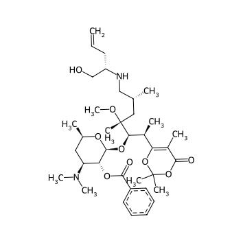 C=CC[C@@H](CO)NC[C@H](C)C[C@@](C)(OC)[C@H](O[C@@H]1O[C@H](C)C[C@H](N(C)C)[C@H]1OC(=O)c1ccccc1)[C@@H](C)C1=C(C)C(=O)OC(C)(C)O1